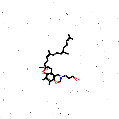 CC(C)=CCCC(C)=CCCC(C)=CCC[C@]1(C)CCc2c3c(c(C)c(C)c2O1)OCN(CCCO)C3